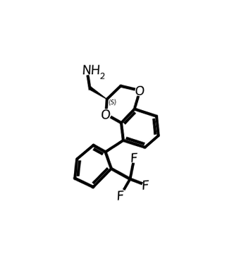 NC[C@H]1COc2cccc(-c3ccccc3C(F)(F)F)c2O1